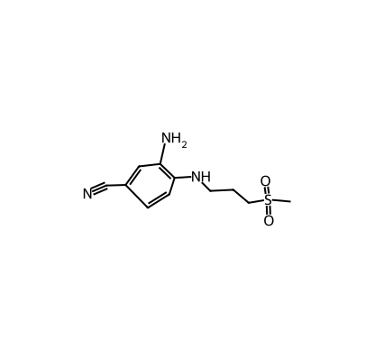 CS(=O)(=O)CCCNc1ccc(C#N)cc1N